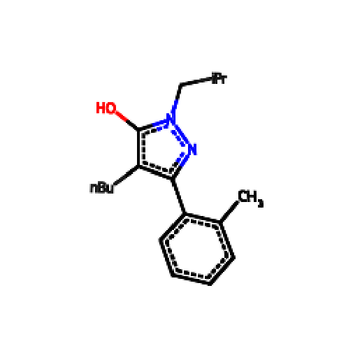 CCCCc1c(-c2ccccc2C)nn(CC(C)C)c1O